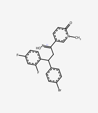 Cn1cc(/C(CC(c2ccc(Br)cc2)c2ccc(F)cc2F)=N/O)ccc1=O